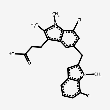 Cc1c(CCC(=O)O)c2cc(Cc3cc4cccc(Cl)c4n3C)cc(Cl)c2n1C